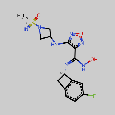 C[S@](=N)(=O)N1CC(Nc2nonc2C(=N[C@H]2Cc3ccc(F)cc32)NO)C1